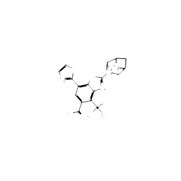 CC(=O)c1cc(-c2nccs2)c2oc(N3CC4CC(C3)N4)nc2c1C(F)(F)F